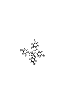 O=S(=O)(C(C=Cc1ccc(F)cc1F)c1ccc(Br)cc1)C(C=Cc1ccc(F)cc1F)c1ccc(Br)cc1